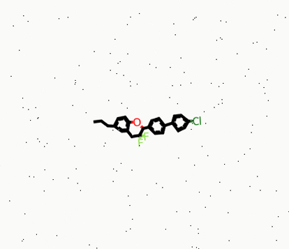 CCCc1ccc2c(c1)CC(F)(F)C(c1ccc(-c3ccc(Cl)cc3)cc1)O2